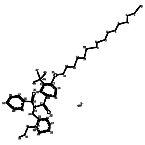 CCCCCCCCCCCCCCCCOc1ccc(C(=O)N(Cc2cccc[n+]2CCC)C(=O)c2ccccc2)cc1C(C)(C)C.[I-]